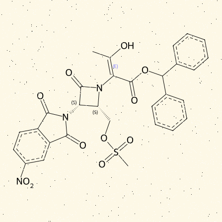 C/C(O)=C(/C(=O)OC(c1ccccc1)c1ccccc1)N1C(=O)[C@@H](N2C(=O)c3ccc([N+](=O)[O-])cc3C2=O)[C@H]1COS(C)(=O)=O